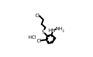 Cl.NNc1cccc(Cl)c1SCCCCl